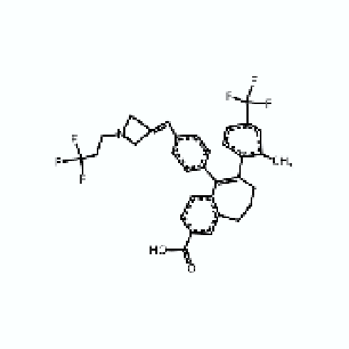 Cc1cc(C(F)(F)F)ccc1C1=C(c2ccc(C=C3CN(CCC(F)(F)F)C3)cc2)c2ccc(C(=O)O)cc2CCC1